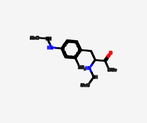 COBNc1ccc(CC(NBOC)C(=O)OC)c([N+](=O)[O-])c1